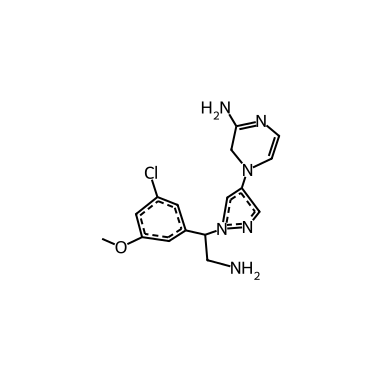 COc1cc(Cl)cc(C(CN)n2cc(N3C=CN=C(N)C3)cn2)c1